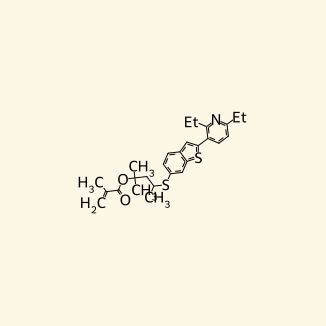 C=C(C)C(=O)OC(C)(C)CC(C)Sc1ccc2cc(-c3ccc(CC)nc3CC)sc2c1